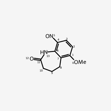 COc1ccc(N=O)c2c1CCCC(=O)N2